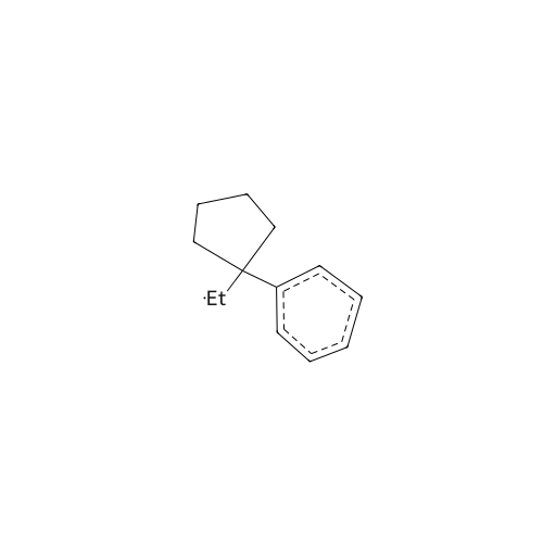 C[CH]C1(c2ccccc2)CCCC1